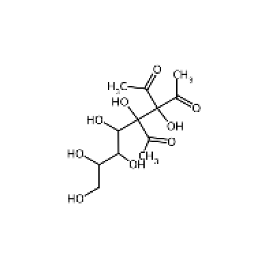 CC(=O)C(O)(C(C)=O)C(O)(C(C)=O)C(O)C(O)C(O)CO